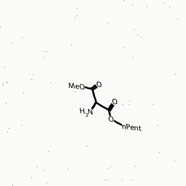 CCCCCOC(=O)C(N)C(=O)OC